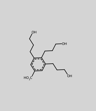 O=C(O)c1cc(CCCO)c(CCCO)c(CCCO)c1